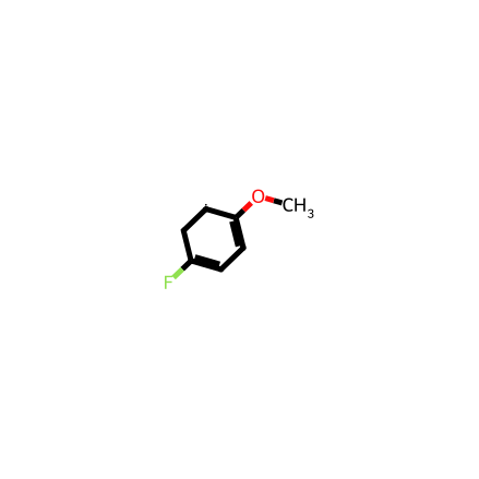 COC1=CC=C(F)C[CH]1